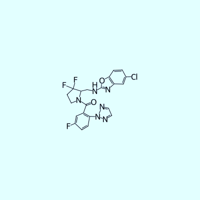 O=C(c1cc(F)ccc1-n1nccn1)N1CCC(F)(F)C1CNc1nc2cc(Cl)ccc2o1